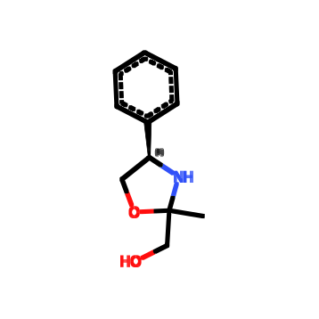 CC1(CO)N[C@H](c2ccccc2)CO1